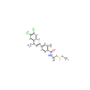 C[C@H](CSCC(F)(F)F)NC(=O)c1ccc(/C(F)=C/C(c2ccc(Cl)c(Cl)c2)C(F)(F)F)cc1Br